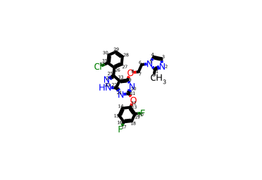 Cc1nccn1CCOc1nc(Oc2ccc(F)cc2F)nc2[nH]nc(-c3ccccc3Cl)c12